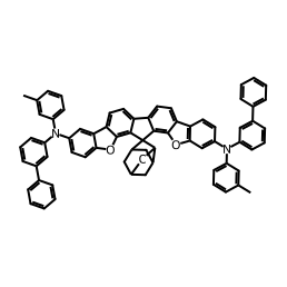 Cc1cccc(N(c2cccc(-c3ccccc3)c2)c2ccc3c(c2)oc2c4c(ccc23)-c2ccc3c(oc5ccc(N(c6cccc(C)c6)c6cccc(-c7ccccc7)c6)cc53)c2C42C3CC4CC(C3)C2C4)c1